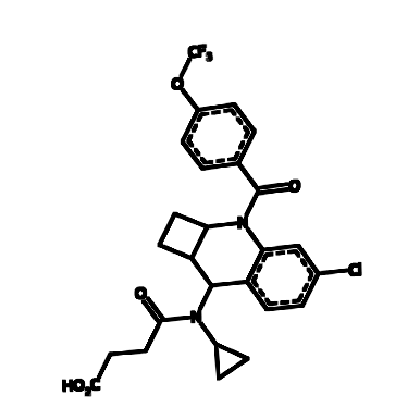 O=C(O)CCC(=O)N(C1CC1)C1c2ccc(Cl)cc2N(C(=O)c2ccc(OC(F)(F)F)cc2)C2CCC21